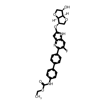 CCOC(=O)Nc1ccc(-c2ccc(-c3nc4cc(O[C@@H]5CO[C@H]6[C@@H]5OC[C@H]6O)[nH]c4cc3F)cc2)cc1